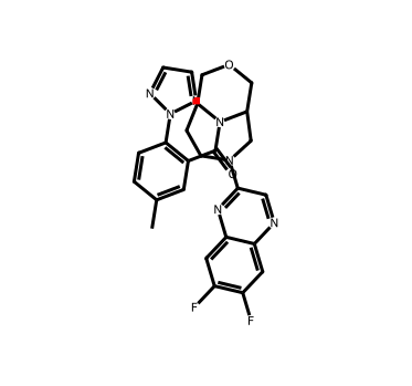 Cc1ccc(-n2nccn2)c(C(=O)N2C3CCN(c4cnc5cc(F)c(F)cc5n4)CC2COC3)c1